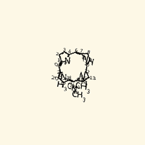 C1=C2CCC(=N2)C=C2CCC(N2)C2CCC(=N2)C=C2CCC1=N2.CN(C)C